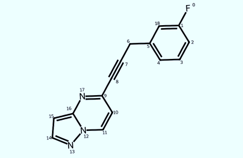 Fc1cccc(CC#Cc2ccn3nccc3n2)c1